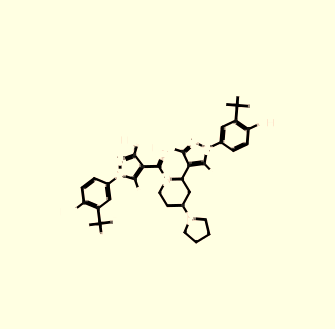 Cc1ccc(-n2nc(C)c(C(=O)N3CCC(N4CCCC4)CC3c3c(C)nn(-c4ccc(C)c(C(F)(F)F)c4)c3C)c2C)cc1C(F)(F)F